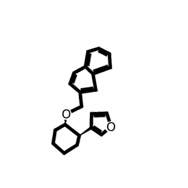 c1ccc2cc(CO[C@H]3CCCC[C@@H]3c3ccoc3)ccc2c1